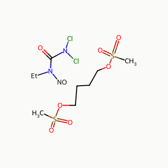 CCN(N=O)C(=O)N(Cl)Cl.CS(=O)(=O)OCCCCOS(C)(=O)=O